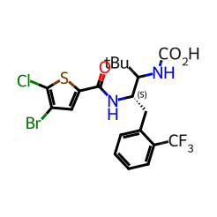 CC(C)(C)C(NC(=O)O)[C@H](Cc1ccccc1C(F)(F)F)NC(=O)c1cc(Br)c(Cl)s1